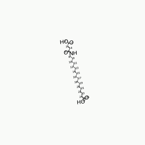 O=C(O)C=CC(=O)NCCCCCCCCCCCCCCCCCC(=O)O